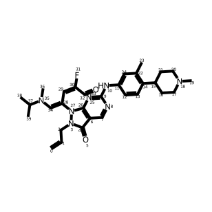 C=CCn1c(=O)c2cnc(Nc3ccc(C4CCN(C)CC4)c(C)c3)nc2n1C(/C=C(/F)C=O)=C/N(C)C(C)C